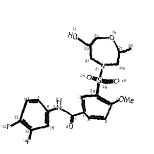 COc1ccc(C(=O)Nc2ccc(F)c(F)c2)cc1S(=O)(=O)N1CC(O)COC(C)C1